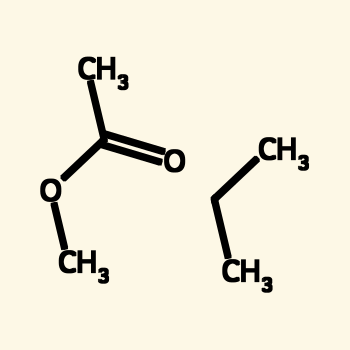 CCC.COC(C)=O